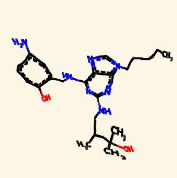 CCCCCn1cnc2c(NCc3cc(N)ccc3O)nc(NCC(C)C(C)(C)O)nc21